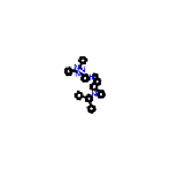 c1ccc(-c2cc(-c3ccccc3)cc(-n3c4ccccc4c4c5ccc6ccn(-c7cccc(-c8nc(-c9ccccc9)nc(-c9ccccc9)n8)c7)c6c5ccc43)c2)cc1